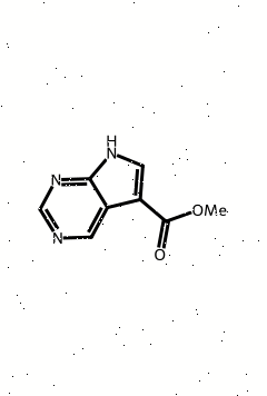 COC(=O)c1c[nH]c2ncncc12